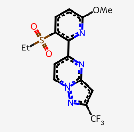 CCS(=O)(=O)c1ccc(OC)nc1-c1ccn2nc(C(F)(F)F)cc2n1